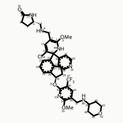 COC1=C(CNC[C@@H]2CCC(=O)N2)C=C(Cl)C(c2ccncc2)(c2cccc3c2CC[C@H]3Oc2nc(OC)c(CNC3CCOCC3)cc2C(F)(F)F)N1